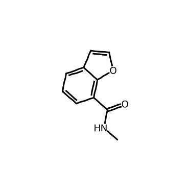 CNC(=O)c1cccc2ccoc12